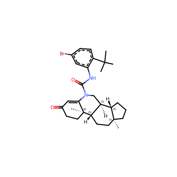 CC(C)(C)c1ccc(Br)cc1NC(=O)N1C[C@H]2[C@@H]3CCC[C@@]3(C)CC[C@@H]2[C@@]2(C)CCC(=O)C=C12